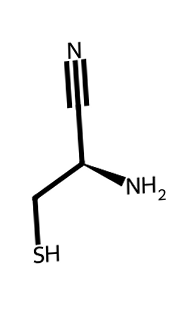 N#C[C@@H](N)CS